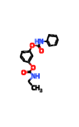 CCNC(=O)Oc1cccc(OC(=O)Nc2ccccc2)c1